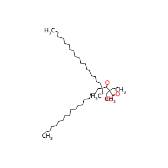 CCCCCCCCCCCCCCCCCCC(CC)(CCCCCCCCCCCCCCCCCC)C(=O)C(CC)(CC)C(=O)O